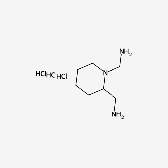 Cl.Cl.Cl.NCC1CCCCN1CN